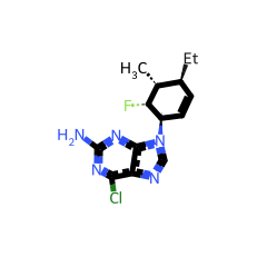 CC[C@H]1C=C[C@@H](n2cnc3c(Cl)nc(N)nc32)[C@H](F)[C@@H]1C